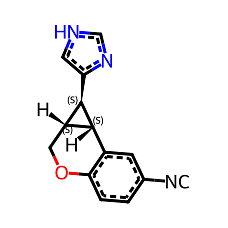 [C-]#[N+]c1ccc2c(c1)[C@@H]1[C@H](CO2)[C@H]1c1c[nH]cn1